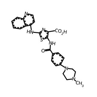 CN1CCN(c2ccc(C(=O)Nc3sc(Nc4ccnc5ccccc45)nc3C(=O)O)cc2)CC1